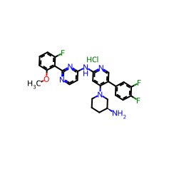 COc1cccc(F)c1-c1nccc(Nc2cc(N3CCC[C@H](N)C3)c(-c3ccc(F)c(F)c3)cn2)n1.Cl